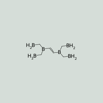 BCB(/C=C/B(CB)CB)CB